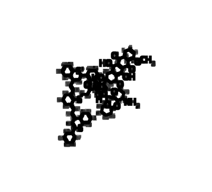 COc1cccc2c1C(=O)c1c(O)c3c(c(O)c1C2=O)CC(O)(C(CO)NNC(=O)CCSC1=C(/C=C/c2cc(-c4ccccc4)[s+]c4ccccc24)CCC/C1=C\C=C1\C=C(c2ccccc2)Sc2ccccc21)CC3OC1CC(N)C(OC2CCCCO2)C(C)O1